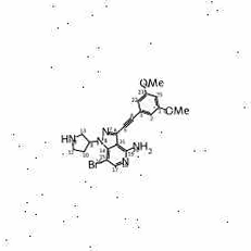 COc1cc(C#Cc2nn(C3CCNC3)c3c(Br)cnc(N)c23)cc(OC)c1